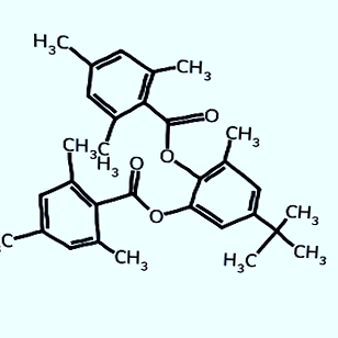 Cc1cc(C)c(C(=O)Oc2cc(C(C)(C)C)cc(C)c2OC(=O)c2c(C)cc(C)cc2C)c(C)c1